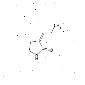 CC/C=C1/CCNC1=O